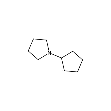 [CH]1CCCC1N1CCCC1